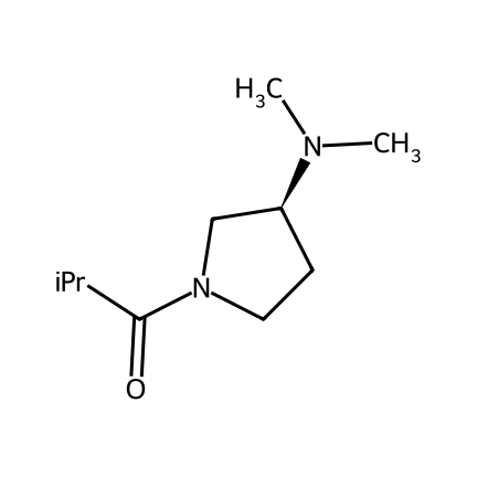 CC(C)C(=O)N1CC[C@H](N(C)C)C1